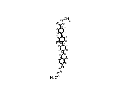 C=CCCCOc1ccc(CCC2CCC(c3ccc(-c4ccc(C(O)CCC)cc4)c(F)c3F)CC2)c(F)c1